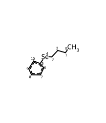 CCCC[Se]c1ccccc1